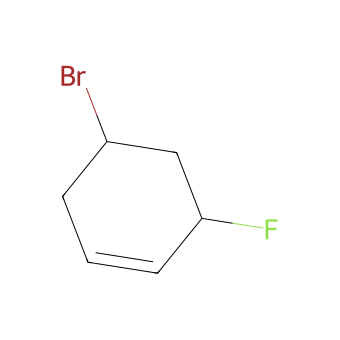 FC1C=CCC(Br)C1